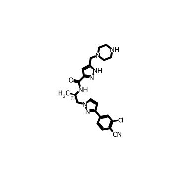 C[C@H](Cn1ccc(-c2ccc(C#N)c(Cl)c2)n1)NC(=O)c1cc(CN2CCNCC2)[nH]n1